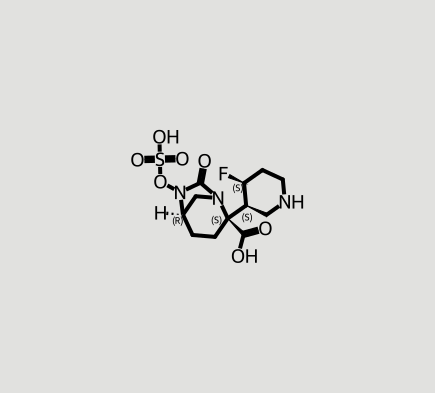 O=C1N(OS(=O)(=O)O)[C@@H]2CC[C@@](C(=O)O)([C@@H]3CNCC[C@@H]3F)N1C2